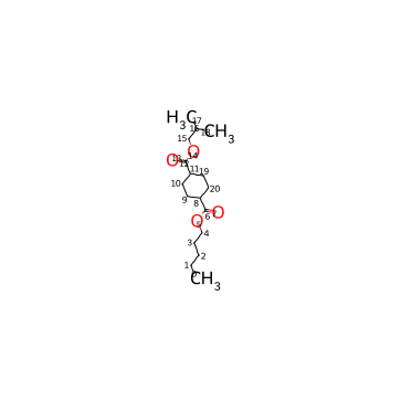 CCCCCOC(=O)C1CCC(C(=O)OCC(C)C)CC1